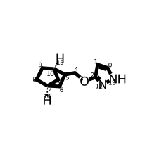 c1cc(OCC2C[C@H]3CC[C@@H]2C3)n[nH]1